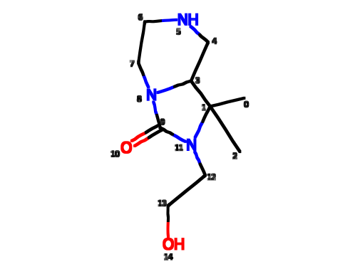 CC1(C)C2CNCCN2C(=O)N1CCO